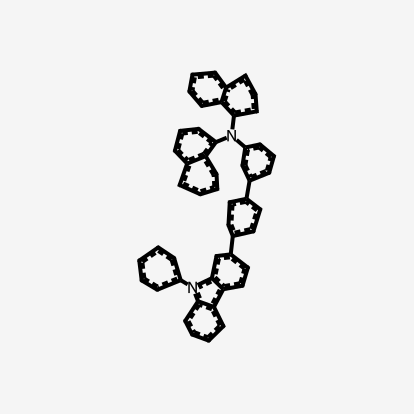 c1ccc(-n2c3ccccc3c3ccc(-c4ccc(-c5cccc(N(c6cccc7ccccc67)c6cccc7ccccc67)c5)cc4)cc32)cc1